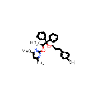 COc1cc(C)nc(OC(C(=O)O)C(OCCCc2ccc(C)cc2)(c2ccccc2)c2ccccc2)n1